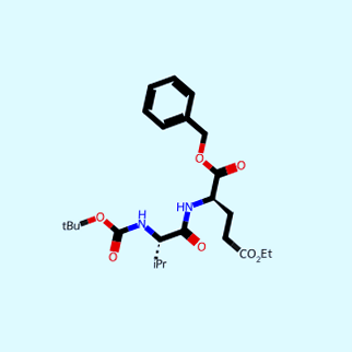 CCOC(=O)CC[C@@H](NC(=O)[C@@H](NC(=O)OC(C)(C)C)C(C)C)C(=O)OCc1ccccc1